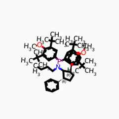 CCCCN(C1[C@@H](c2ccccc2)CC[C@@H]1c1ccccc1)P(c1cc(C(C)(C)C)c(OC)c(C(C)(C)C)c1)c1cc(C(C)(C)C)c(OC)c(C(C)(C)C)c1